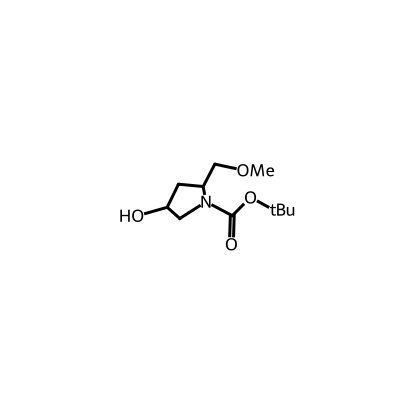 COCC1CC(O)CN1C(=O)OC(C)(C)C